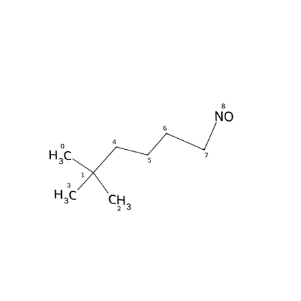 CC(C)(C)CCCCN=O